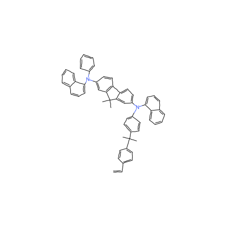 C=Cc1ccc(C(C)(C)c2ccc(N(c3ccc4c(c3)C(C)(C)c3cc(N(c5ccccc5)c5cccc6ccccc56)ccc3-4)c3cccc4ccccc34)cc2)cc1